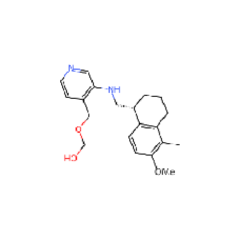 COc1ccc2c(c1C)CCC[C@H]2CNc1cnccc1COCO